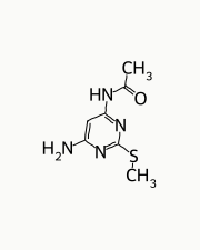 CSc1nc(N)cc(NC(C)=O)n1